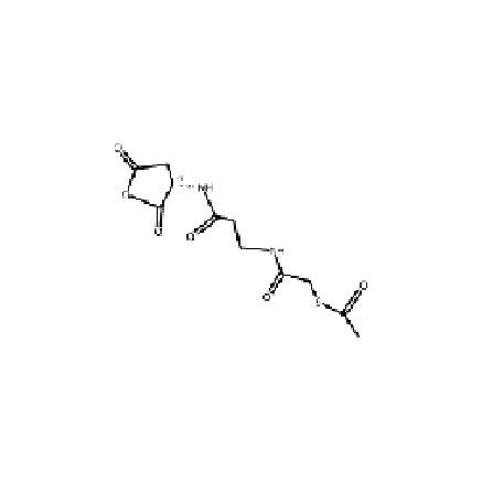 CC(=O)SCC(=O)NCCC(=O)N[C@H]1CC(=O)OC1=O